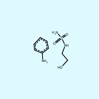 NS(=O)(=O)NCCO.Nc1ccccc1